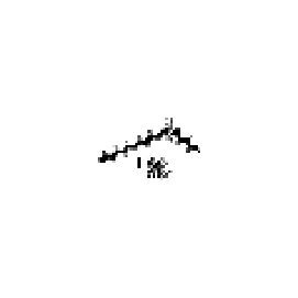 CCCCCCCCCCCC[N+](C)(C)CCCCC.O=S(=O)([O-])O